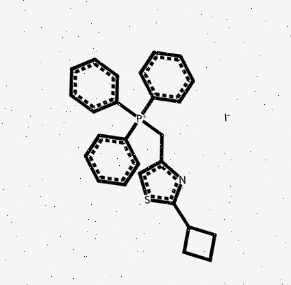 [I-].c1ccc([P+](Cc2csc(C3CCC3)n2)(c2ccccc2)c2ccccc2)cc1